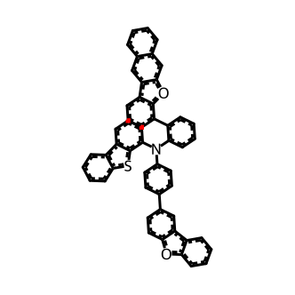 c1ccc(N(c2ccc(-c3ccc4oc5ccccc5c4c3)cc2)c2cccc3c2sc2ccccc23)c(-c2cccc3c2oc2cc4ccccc4cc23)c1